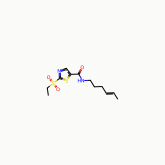 C/C=C/CCCNC(=O)c1cnc(S(=O)(=O)CC)s1